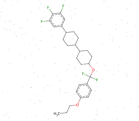 CCCOc1ccc(C(F)(F)OC2CCC(C3CCC(c4cc(F)c(F)c(F)c4)CC3)CC2)cc1